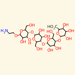 NCCO[C@H]1OC(CO)[C@H](O[C@H]2OC(CO)[C@@H](O[C@@H]3OC(CO)[C@@H](O[C@@H]4OC(C(=O)O)[C@@H](O)C(O)[C@@H]4O)C(O)[C@@H]3O)[C@H](O)C2O)C(O)C1O